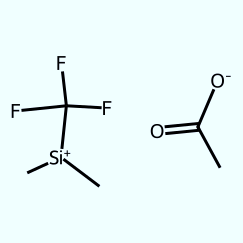 CC(=O)[O-].C[Si+](C)C(F)(F)F